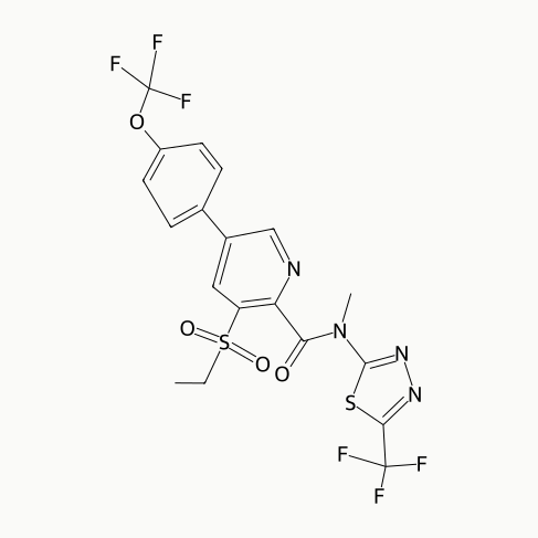 CCS(=O)(=O)c1cc(-c2ccc(OC(F)(F)F)cc2)cnc1C(=O)N(C)c1nnc(C(F)(F)F)s1